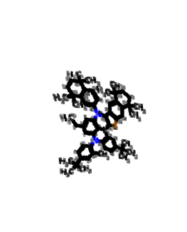 CCc1cc2c3c(c1)N(c1ccc(C(C)(C)C)cc1C)c1ccc(C(C)(C)C)cc1B3c1sc3cc4c(cc3c1N2C1=CC2C(C=C1)C(C)(C)CCC2(C)C)C(C)(C)CCC4(C)C